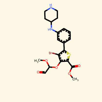 COC(=O)c1sc(-c2cccc(NC3CCNCC3)c2)c(Br)c1OC(C=O)OC